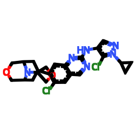 Clc1cc2cnc(Nc3cnn(C4CC4)c3Cl)nc2cc1C1CC2COCC(C1)N2C1COC1